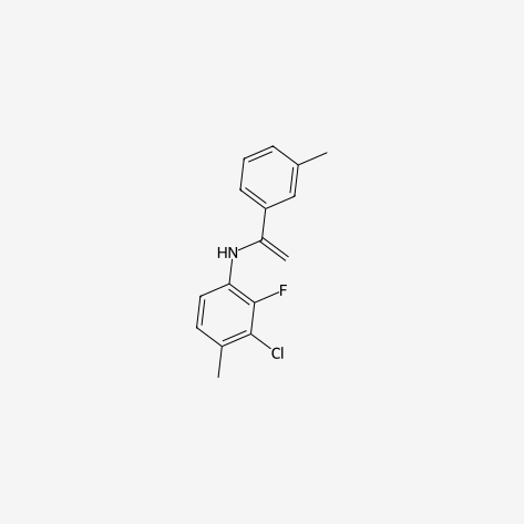 C=C(Nc1ccc(C)c(Cl)c1F)c1cccc(C)c1